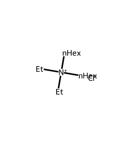 CCCCCC[N+](CC)(CC)CCCCCC.[Cl-]